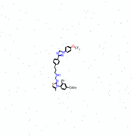 COc1ccc(-n2c(C)cs/c2=N\CNCCCc2ccc(-c3ncn(-c4ccc(OC(F)(F)F)cc4)n3)cc2)c(C(C)C)c1